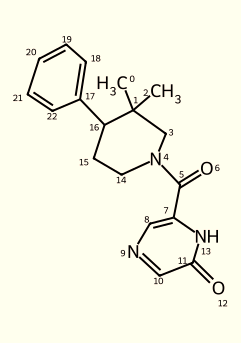 CC1(C)CN(C(=O)c2cncc(=O)[nH]2)CCC1c1ccccc1